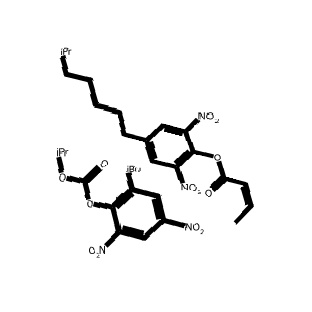 C/C=C\C(=O)Oc1c([N+](=O)[O-])cc(CCCCCC(C)C)cc1[N+](=O)[O-].CCC(C)c1cc([N+](=O)[O-])cc([N+](=O)[O-])c1OC(=O)OC(C)C